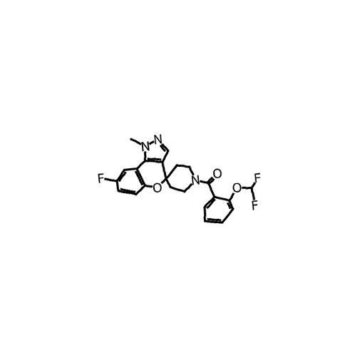 Cn1ncc2c1-c1cc(F)ccc1OC21CCN(C(=O)c2ccccc2OC(F)F)CC1